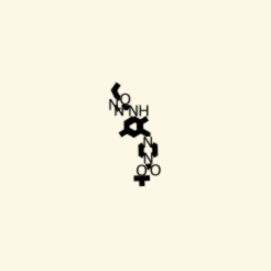 CCc1nnc(Nc2cc(C)cc(CN3CCN(C(=O)OC(C)(C)C)CC3)c2C)o1